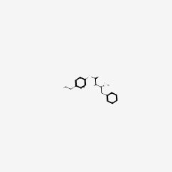 C=C(Nc1ccc(CCC)cc1)C(C)C(Cc1ccccc1)NC